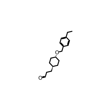 CCc1ccc(CO[C@H]2CC[C@H](CCC=O)CC2)cc1